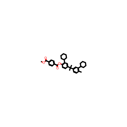 COC(=O)c1ccc(C(=O)Oc2ccc(C(C)(C)c3ccc(C)c(C4CCCCC4)c3)cc2C2CCCCC2)cc1